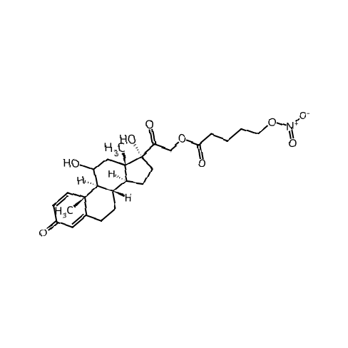 C[C@]12C=CC(=O)C=C1CC[C@@H]1[C@@H]2C(O)C[C@@]2(C)[C@H]1CC[C@]2(O)C(=O)COC(=O)CCCCO[N+](=O)[O-]